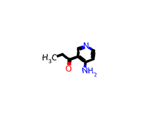 CCC(=O)c1cnccc1N